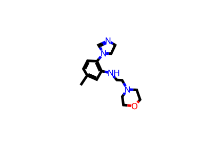 Cc1ccc(N2C=NCC2)c(NCCN2CCOCC2)c1